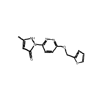 Cc1cc(=O)n(-c2ccc(OCc3ccco3)nn2)[nH]1